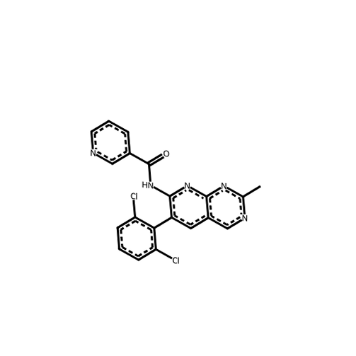 Cc1ncc2cc(-c3c(Cl)cccc3Cl)c(NC(=O)c3cccnc3)nc2n1